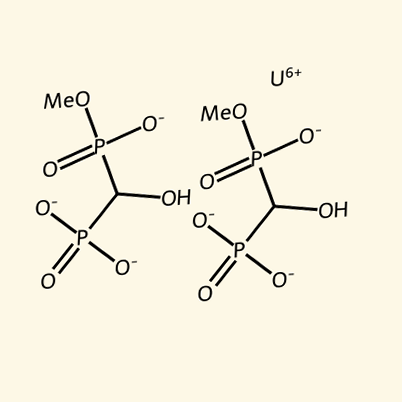 COP(=O)([O-])C(O)P(=O)([O-])[O-].COP(=O)([O-])C(O)P(=O)([O-])[O-].[U+6]